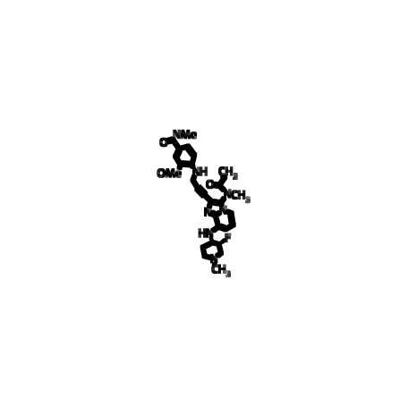 C=CC(=O)N(C)c1c(C#CCNc2ccc(C(=O)NC)cc2OC)nc2c(N[C@@H]3CCN(C)C[C@@H]3F)cccn12